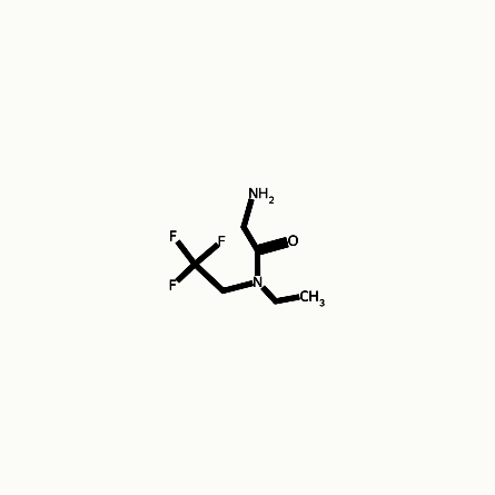 CCN(CC(F)(F)F)C(=O)CN